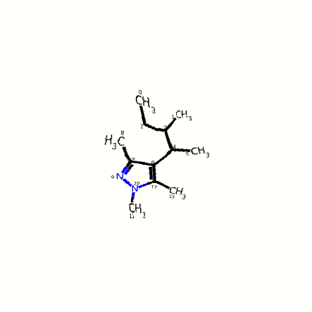 CCC(C)C(C)c1c(C)nn(C)c1C